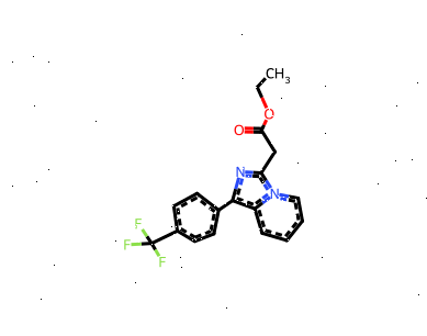 CCOC(=O)Cc1nc(-c2ccc(C(F)(F)F)cc2)c2ccccn12